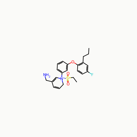 CCCc1cc(F)ccc1Oc1cccc([N+]2(S(=O)(=O)CC)C=C(CN)C=CC2)c1